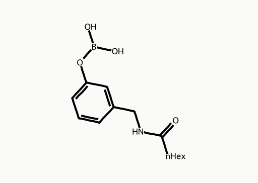 CCCCCCC(=O)NCc1cccc(OB(O)O)c1